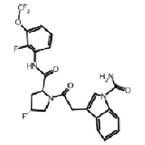 NC(=O)n1cc(CC(=O)N2C[C@H](F)C[C@H]2C(=O)Nc2cccc(OC(F)(F)F)c2F)c2ccccc21